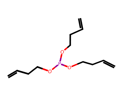 C=CCCOP(OCCC=C)OCCC=C